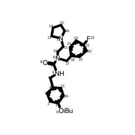 CC(C)COc1ccc(CNC(=O)N(CCN2CCCC2)Cc2ccc(F)cc2)cc1